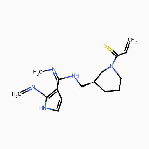 C=CC(=S)N1CCC[C@@H](CN/C(=N/C)c2cc[nH]c2N=C)C1